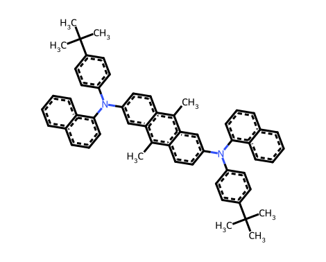 Cc1c2ccc(N(c3ccc(C(C)(C)C)cc3)c3cccc4ccccc34)cc2c(C)c2ccc(N(c3ccc(C(C)(C)C)cc3)c3cccc4ccccc34)cc12